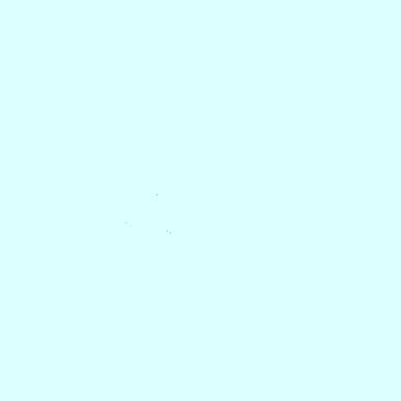 c1ccc(-c2ccc(-c3ccc4c(c3)c3cc5ccccc5cc3n4-c3nccc(-c4cccc(-c5cccc6c5sc5ccccc56)c4)n3)cc2)cc1